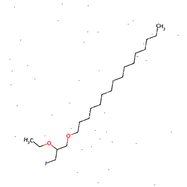 CCCCCCCCCCCCCCCCOCC(CI)OCC